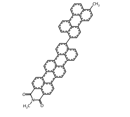 Cc1ccc2c3ccc(-c4ccc5c6ccc7c8ccc9c%10c(ccc(c%11ccc(c%12cccc4c%125)c6c%117)c%108)C(=O)N(C)C9=O)c4cccc(c5cccc1c52)c43